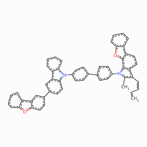 C=C/C=C\c1c(C)n(-c2ccc(-c3ccc(-n4c5ccccc5c5cc(-c6ccc7oc8ccccc8c7c6)ccc54)cc3)cc2)c2c1ccc1c3ccccc3oc12